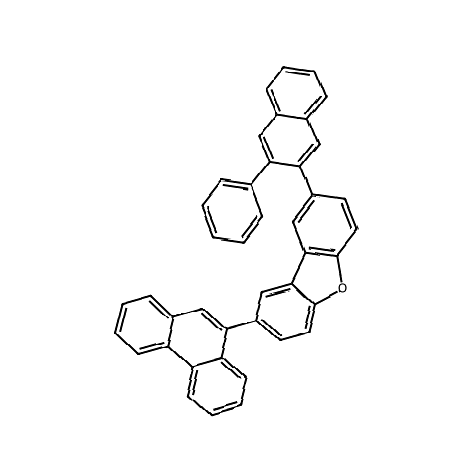 c1ccc(-c2cc3ccccc3cc2-c2ccc3oc4ccc(-c5cc6ccccc6c6ccccc56)cc4c3c2)cc1